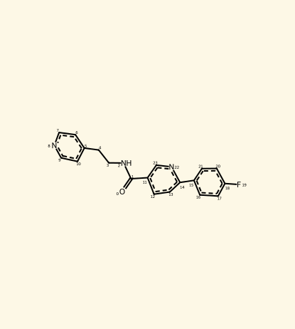 O=C(NCCc1ccncc1)c1ccc(-c2ccc(F)cc2)nc1